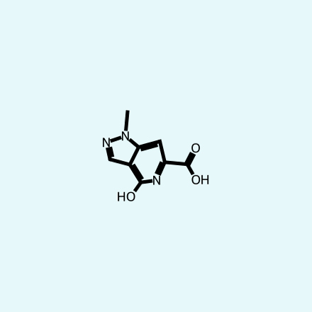 Cn1ncc2c(O)nc(C(=O)O)cc21